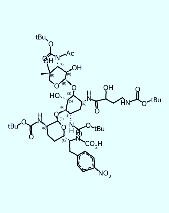 CC(=O)N(C(=O)OC(C)(C)C)[C@@H]1[C@@H](O)[C@@H](O[C@@H]2[C@@H](O)[C@H](O[C@H]3O[C@H](C(Cc4ccc([N+](=O)[O-])cc4)NC(=O)O)CC[C@H]3NC(=O)OC(C)(C)C)[C@@H](NC(=O)OC(C)(C)C)C[C@H]2NC(=O)C(O)CCNC(=O)OC(C)(C)C)OC[C@]1(C)O